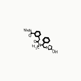 CNC(=O)c1cccc(CC(=O)N(C)C(CN2CCC(O)C2)c2ccccc2)c1